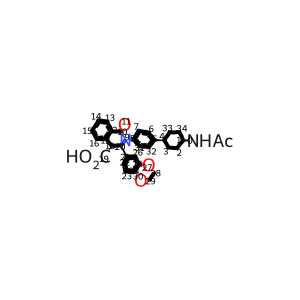 CC(=O)N[C@H]1CC[C@@H](c2ccc(N3C(=O)c4ccccc4[C@@H](C(=O)O)[C@@H]3c3ccc4c(c3)OCCO4)cc2)CC1